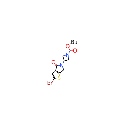 CC(C)(C)OC(=O)N1CC(N2Cc3sc(Br)cc3C2=O)C1